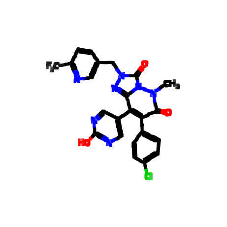 Cn1c(=O)c(-c2ccc(Cl)cc2)c(-c2cnc(O)nc2)c2nn(Cc3ccc(C(F)(F)F)nc3)c(=O)n21